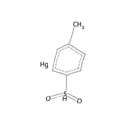 Cc1ccc([SH](=O)=O)cc1.[Hg]